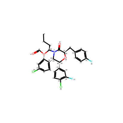 CCC[C@H](OC=O)N1C(=O)[C@@H](Cc2ccc(F)cc2)O[C@H](c2ccc(Cl)c(F)c2)[C@@H]1c1ccc(Cl)cc1